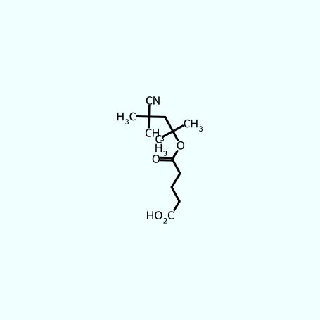 CC(C)(C#N)CC(C)(C)OC(=O)CCCC(=O)O